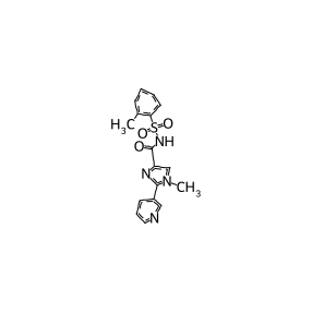 Cc1ccccc1S(=O)(=O)NC(=O)c1cn(C)c(-c2cccnc2)n1